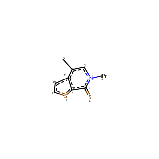 Cc1cn(C(C)C)c(=S)c2sccc12